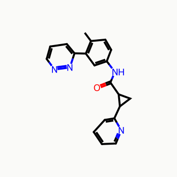 Cc1ccc(NC(=O)C2CC2c2ccccn2)cc1-c1cccnn1